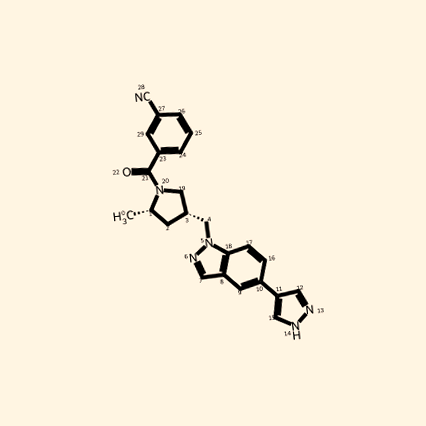 C[C@H]1C[C@@H](Cn2ncc3cc(-c4cn[nH]c4)ccc32)CN1C(=O)c1cccc(C#N)c1